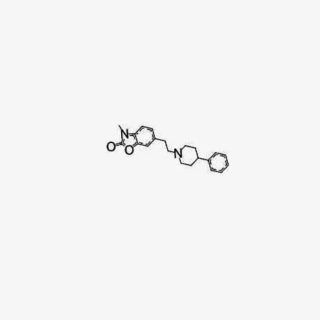 Cn1c(=O)oc2cc(CCN3CCC(c4ccccc4)CC3)ccc21